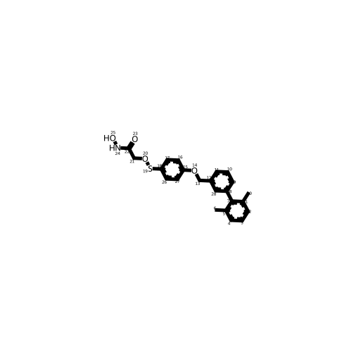 Cc1cccc(C)c1-c1cccc(COc2ccc(SOCC(=O)NO)cc2)c1